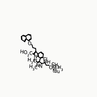 Cc1c(-c2c(Cl)ccc3c(CCCOc4cccc5ccccc45)c(C(=O)O)[nH]c23)c(C(O)CCO[Si](C)(C)C(C)(C)C)nn1C